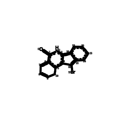 O=c1[nH]c2c(c3c1=CC=CC3)C(Br)=c1ccccc1=2